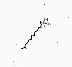 CC(C)CCCCCCCCCNC[SH](S)S